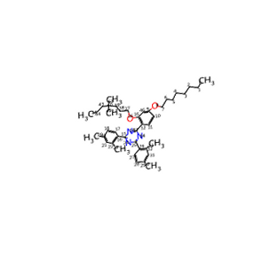 CCCCCCCCOc1ccc(-c2nc(-c3ccc(C)cc3C)nc(-c3ccc(C)cc3C)n2)c(OCCCC(C)(C)CCC)c1